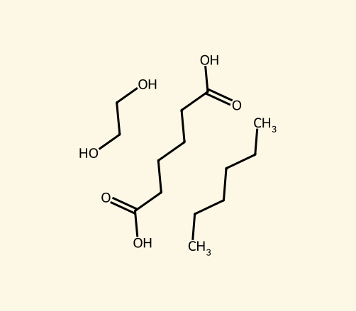 CCCCCC.O=C(O)CCCCC(=O)O.OCCO